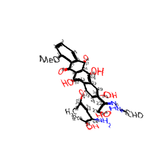 COc1cccc2c1C(=O)c1c(O)c3c(c(O)c1C2=O)C[C@@](O)(/C(CO)=N/NC=O)C[C@@H]3OC(C)CC(N)C(O)C(C)C